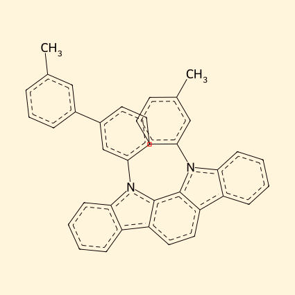 Cc1cccc(-c2cccc(-n3c4ccccc4c4ccc5c6ccccc6n(-c6cccc(C)c6)c5c43)c2)c1